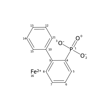 O=P([O-])([O-])c1ccccc1-c1ccccc1.[Fe+2]